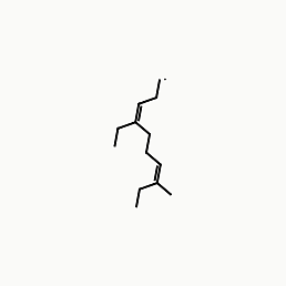 [CH2]CC=C(CC)CCC=C(C)CC